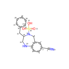 N#Cc1ccc2c(c1)CN(S(=O)(=O)O)C(Cc1ccccc1)CN2